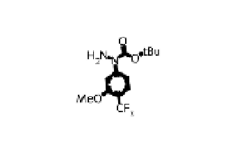 COc1cc(N(N)C(=O)OC(C)(C)C)ccc1C(F)(F)F